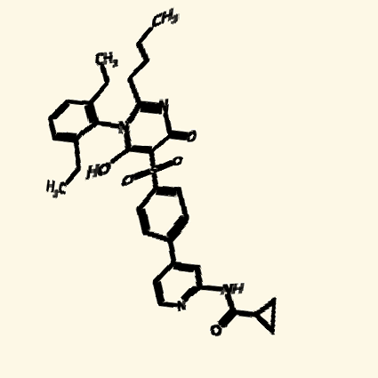 CCCCc1nc(=O)c(S(=O)(=O)c2ccc(-c3ccnc(NC(=O)C4CC4)c3)cc2)c(O)n1-c1c(CC)cccc1CC